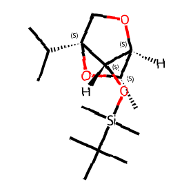 CC(C)[C@@]12CO[C@@H]([C@H](C)O1)[C@@H]2O[Si](C)(C)C(C)(C)C